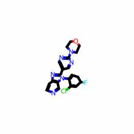 FC1C=C(Cl)C(n2c(-c3cnc(N4CCOCC4)nc3)nc3ccncc32)=CC1